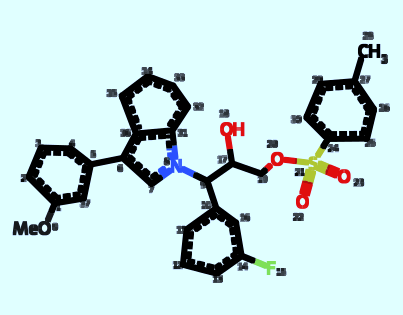 COc1cccc(-c2cn(C(c3cccc(F)c3)C(O)COS(=O)(=O)c3ccc(C)cc3)c3ccccc23)c1